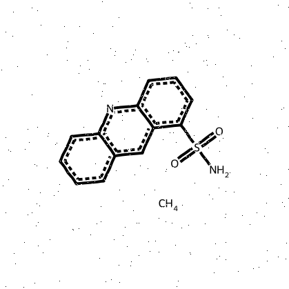 C.NS(=O)(=O)c1cccc2nc3ccccc3cc12